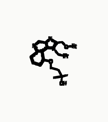 CCOCc1nc2cnc3cccc(OCCC(C)(C)O)c3c2n1CC(C)C